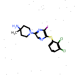 CC1(N)CCN(c2cnc(Sc3cccc(Cl)c3Cl)c(I)n2)CC1